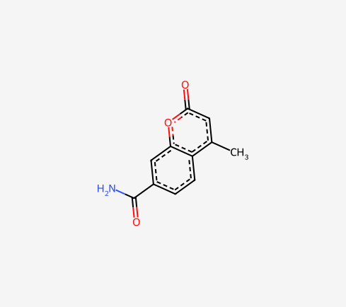 Cc1cc(=O)oc2cc(C(N)=O)ccc12